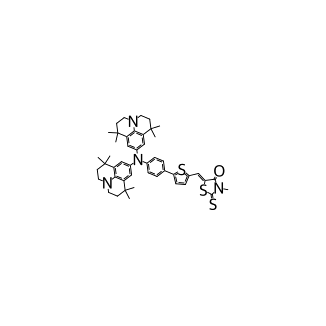 CN1C(=O)/C(=C/c2ccc(-c3ccc(N(c4cc5c6c(c4)C(C)(C)CCN6CCC5(C)C)c4cc5c6c(c4)C(C)(C)CCN6CCC5(C)C)cc3)s2)SC1=S